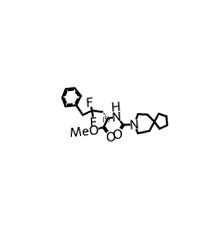 COC(=O)[C@H](CC(F)(F)Cc1ccccc1)NC(=O)N1CCC2(CCCC2)CC1